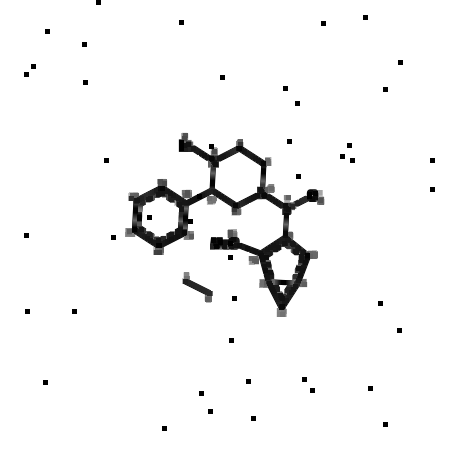 CC.CCN1CCN([S+]([O-])c2cc3cc-3c2OC)CC1c1ccccc1